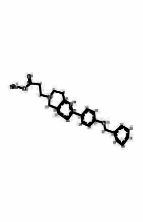 CC(C)(C)OC(=O)CCN1CCc2nc(-c3ccc(OCc4ccccc4)cc3)ccc2C1